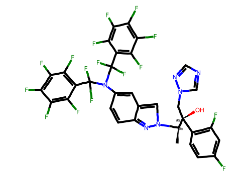 C[C@@H](n1cc2cc(N(C(F)(F)c3c(F)c(F)c(F)c(F)c3F)C(F)(F)c3c(F)c(F)c(F)c(F)c3F)ccc2n1)[C@](O)(Cn1cncn1)c1ccc(F)cc1F